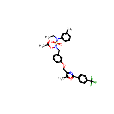 CCN(c1cccc(C)c1)S(=O)(=O)N(Cc1cccc(OCc2nc(-c3ccc(C(F)(F)F)cc3)oc2C)c1)OC(C)=O